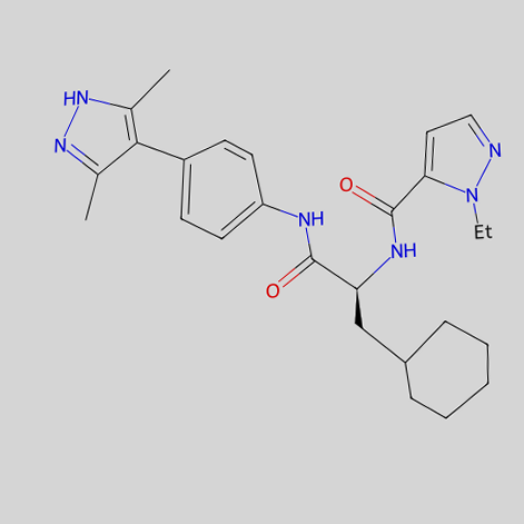 CCn1nccc1C(=O)N[C@@H](CC1CCCCC1)C(=O)Nc1ccc(-c2c(C)n[nH]c2C)cc1